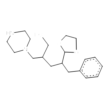 OCC(CC(Cc1ccccc1)C1OCCO1)CN1CCNCC1